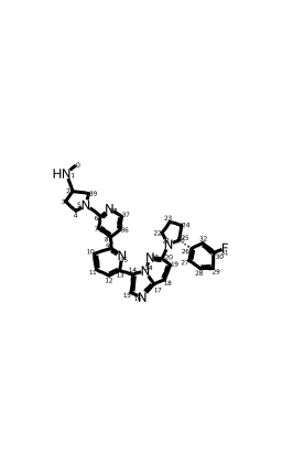 CNC1CCN(c2cc(-c3cccc(-c4cnc5ccc(N6CCC[C@@H]6c6cccc(F)c6)nn45)n3)ccn2)C1